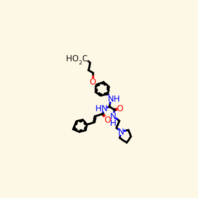 O=C(O)CCCOc1ccc(NC(NC(=O)C=Cc2ccccc2)C(=O)NCCN2CCCC2)cc1